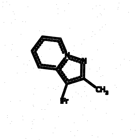 Cc1nn2ccccc2c1C(C)C